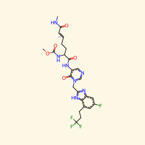 CNC(=O)/C=C/CCC(NC(=O)OC)C(=O)Nc1cncn(Cc2nc3cc(F)cc(CCC(F)(F)F)c3[nH]2)c1=O